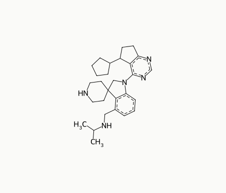 CC(C)NCc1cccc2c1C1(CCNCC1)CN2c1ncnc2c1C(C1CCCC1)CC2